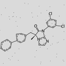 C[C@@]1(Cc2ccc(-c3ccccc3)cc2)C(=O)N(c2cc(Cl)cc(Cl)c2)c2nccn21